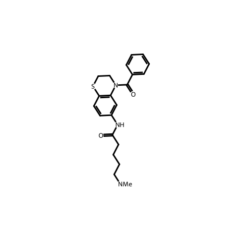 CNCCCCC(=O)Nc1ccc2c(c1)N(C(=O)c1ccccc1)CCS2